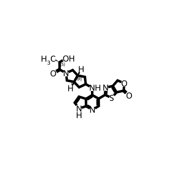 C[C@H](O)C(=O)N1C[C@H]2CC(Nc3c(-c4nc5c(s4)C(=O)OC5)cnc4[nH]ccc34)C[C@H]2C1